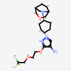 Nc1cn([C@H]2CC[C@H](N3CC4CCC3COC4)CC2)nc1OCCOCC(F)F